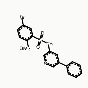 COc1ccc(Br)cc1S(=O)(=O)Nc1cncc(-c2ccccc2)c1